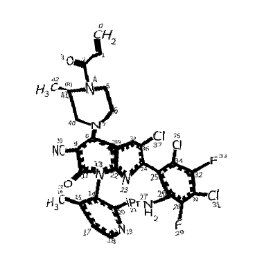 C=CC(=O)N1CCN(c2c(C#N)c(=O)n(-c3c(C)ccnc3C(C)C)c3nc(-c4c(N)c(F)c(Cl)c(F)c4Cl)c(Cl)cc23)C[C@H]1C